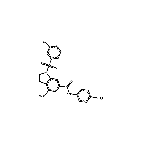 COc1cc(C(=O)Nc2ccc(C(=O)O)cc2)cc2c1CCN2S(=O)(=O)c1cccc(Cl)c1